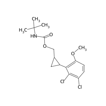 COc1ccc(Cl)c(Cl)c1C1CC1COC(=O)NC(C)(C)C